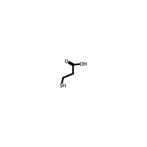 O=C(O)C[CH]S